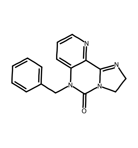 O=C1N2CCN=C2c2ncccc2N1Cc1ccccc1